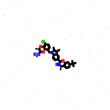 Cc1c(C)n(Cc2ccc(Cl)c(O[C@@H](C)C(N)=O)c2)c2ccc(C(=O)N[C@@H](C)c3ccc(C(C)(C)C)cc3)cc12